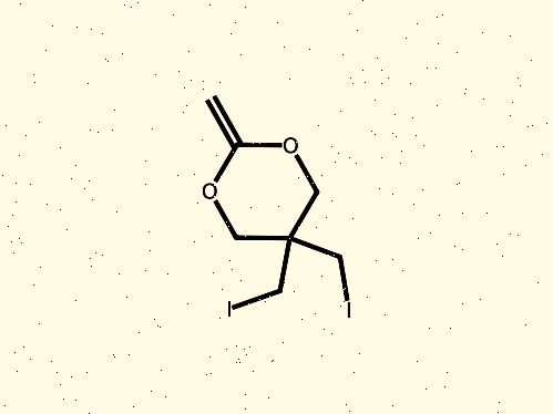 C=C1OCC(CI)(CI)CO1